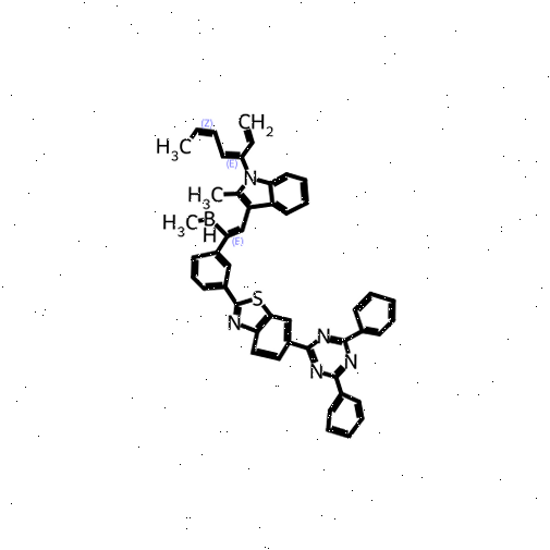 C=C/C(=C\C=C/C)n1c(C)c(/C=C(\BC)c2cccc(-c3nc4ccc(-c5nc(-c6ccccc6)nc(-c6ccccc6)n5)cc4s3)c2)c2ccccc21